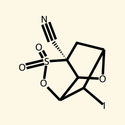 N#C[C@]12CC3OC1C(OS2(=O)=O)C3I